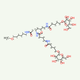 COCCCCCCNC(=O)C[C@H](CCCCNC(=O)CCCCO[C@@H]1OC(CO)[C@@H](O)[C@H](O)C1O)NC(=O)CCCNC(=O)CCCCO[C@@H]1OC(CO)[C@@H](O)[C@H](O)C1O